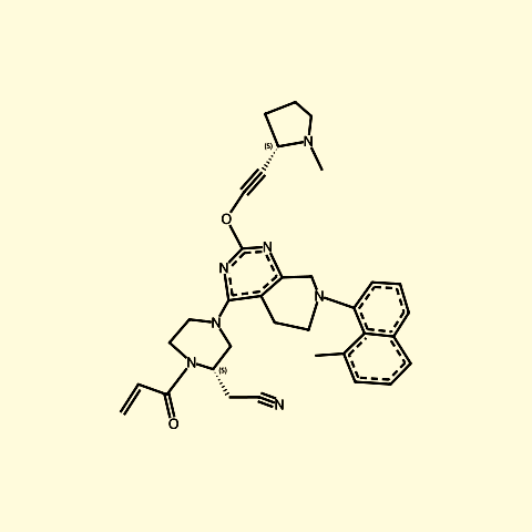 C=CC(=O)N1CCN(c2nc(OC#C[C@@H]3CCCN3C)nc3c2CCN(c2cccc4cccc(C)c24)C3)C[C@@H]1CC#N